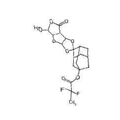 CC(F)(F)C(=O)OC12CC3CC(C1)C1(OC4OC5C(O)OC(=O)C5C4O1)C(C3)C2